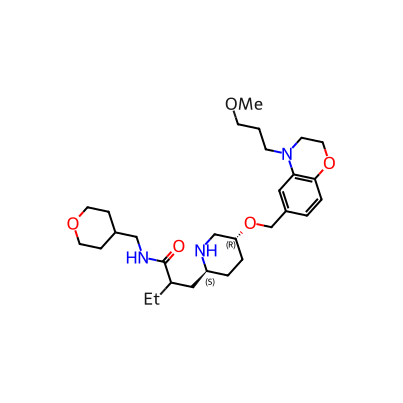 CCC(C[C@@H]1CC[C@@H](OCc2ccc3c(c2)N(CCCOC)CCO3)CN1)C(=O)NCC1CCOCC1